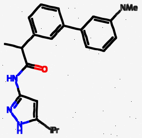 CNc1cccc(-c2cccc(C(C)C(=O)Nc3cc(C(C)C)[nH]n3)c2)c1